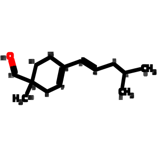 CC(C)CC=CC1=CCC(C)(C=O)CC1